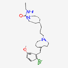 CCNC(=O)N1CCC(CCCN2CCC(Cc3cc(OC)ccc3Br)CC2)CC1